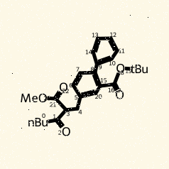 CCCCC(=O)C(Cc1ccc(-c2ccccc2)c(C(=O)OC(C)(C)C)c1)C(=O)OC